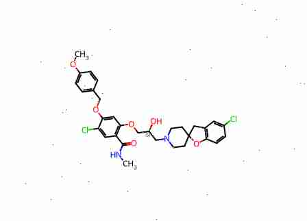 CNC(=O)c1cc(Cl)c(OCc2ccc(OC)cc2)cc1OC[C@@H](O)CN1CCC2(CC1)Cc1cc(Cl)ccc1O2